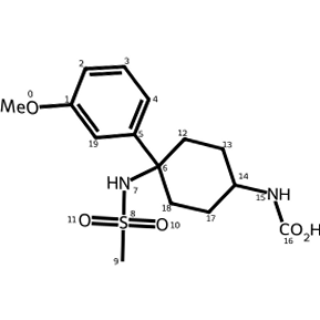 COc1cccc(C2(NS(C)(=O)=O)CCC(NC(=O)O)CC2)c1